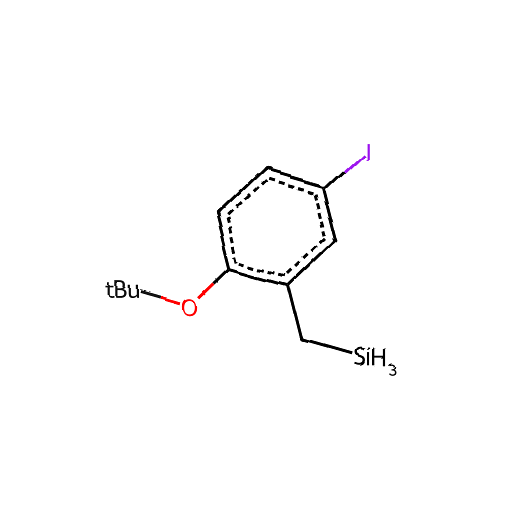 CC(C)(C)Oc1ccc(I)cc1C[SiH3]